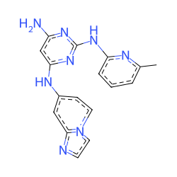 Cc1cccc(Nc2nc(N)cc(Nc3ccn4ccnc4c3)n2)n1